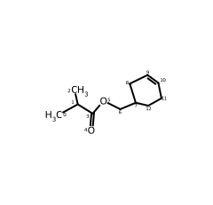 CC(C)C(=O)OCC1CC=CCC1